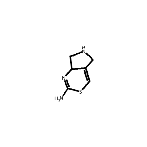 NC1=NC2CNCC2=CS1